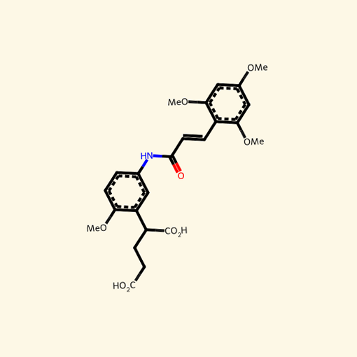 COc1cc(OC)c(C=CC(=O)Nc2ccc(OC)c(C(CCC(=O)O)C(=O)O)c2)c(OC)c1